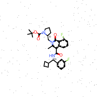 Cc1c(C(=O)N[C@H](c2cccc(F)c2)C2CCC2)c2cccc(F)c2c(=O)n1C[C@@H]1CCCN1C(=O)OC(C)(C)C